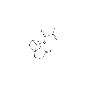 C=C(C)C(=O)OC1C2CC3C(=O)CC1C3C2